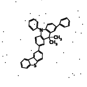 CC1(C)c2cc(-c3ccccc3)ccc2N(c2ccccc2)c2ccc(-c3ccc4sc5ccccc5c4c3)cc21